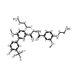 COc1cc(C(=O)N[C@@H](CCCCN)C(=O)c2ccc(OC)c(-c3ccc(F)c(C(F)(F)F)c3)n2)ccc1OCCO